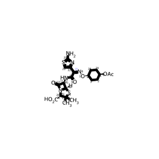 CC(=O)O[C@H]1CC[C@H](O/N=C(\C(=O)N[C@@H]2C(=O)N3[C@@H]2SC(C)(C)[C@@H]3C(=O)O)c2csc(N)n2)CC1